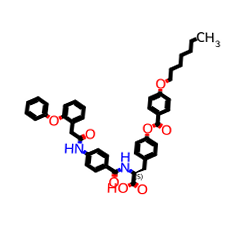 CCCCCCCOc1ccc(C(=O)Oc2ccc(C[C@H](NC(=O)c3ccc(NC(=O)Cc4ccccc4Oc4ccccc4)cc3)C(=O)O)cc2)cc1